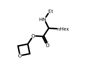 CCCCCCC(NCC)C(=O)OC1COC1